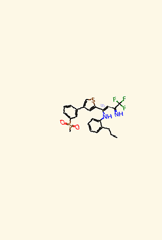 CCCc1ccccc1N/C(=C\C(=N)C(F)(F)F)c1cc(-c2cccc(S(C)(=O)=O)c2)cs1